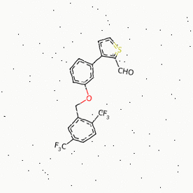 O=Cc1sccc1-c1cccc(OCc2cc(C(F)(F)F)ccc2C(F)(F)F)c1